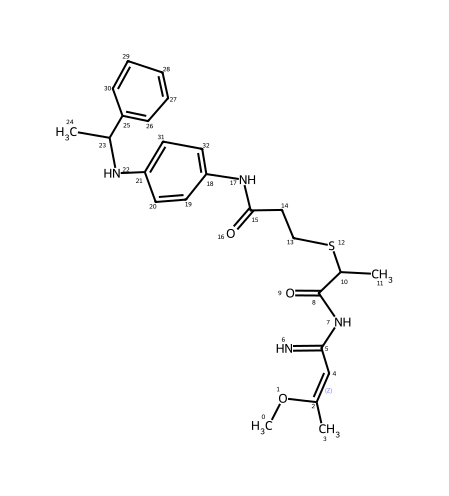 CO/C(C)=C\C(=N)NC(=O)C(C)SCCC(=O)Nc1ccc(NC(C)c2ccccc2)cc1